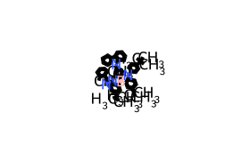 Cc1cccc(C)c1-c1nc2cc(C(C)(C)C)cc3c2n1-c1cc(-n2c4ccccc4c4ccccc42)cc2c1B3c1cc(C(C)(C)C)ccc1N2c1ccc(C(C)(C)C)cc1